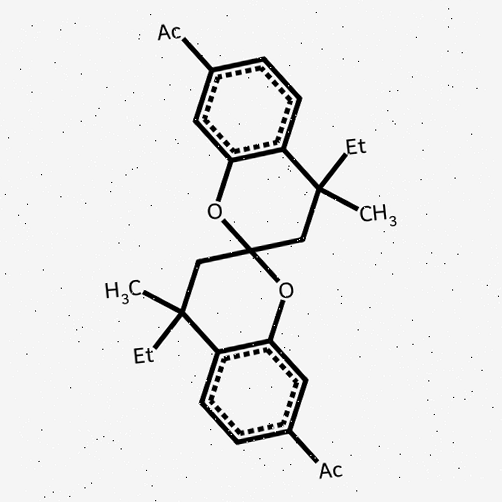 CCC1(C)CC2(CC(C)(CC)c3ccc(C(C)=O)cc3O2)Oc2cc(C(C)=O)ccc21